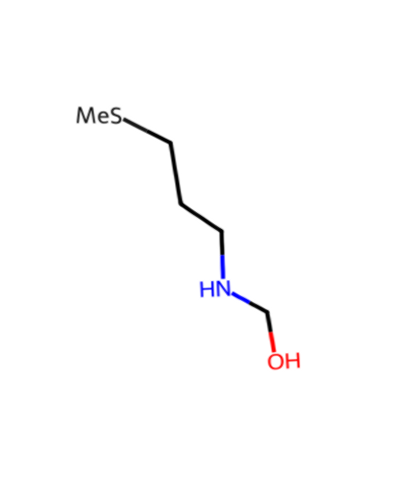 CSCCCNCO